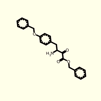 NC(Cc1ccc(OCc2ccccc2)cc1)C(=O)C(=O)OCc1ccccc1